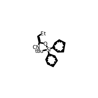 CC/C=C(/C#N)O[Si](c1ccccc1)(c1ccccc1)C(C)(C)C